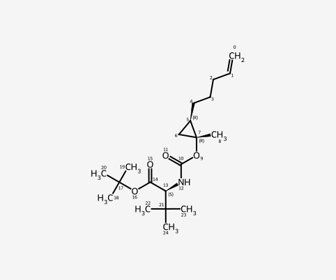 C=CCCC[C@@H]1C[C@@]1(C)OC(=O)N[C@H](C(=O)OC(C)(C)C)C(C)(C)C